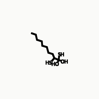 CCCCCCCCC(S)C(O)(O)S